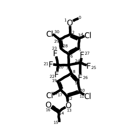 COc1c(Cl)cc(C(c2cc(Cl)c(OC(C)=O)c(Cl)c2)(C(F)(F)F)C(F)(F)F)cc1Cl